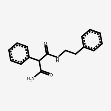 NC(=O)C(C(=O)NCCc1ccccc1)c1ccccc1